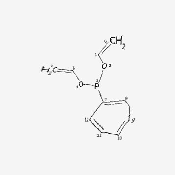 C=COP(OC=C)c1ccccc1